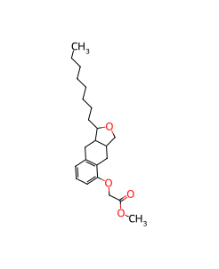 CCCCCCCCC1OCC2Cc3c(cccc3OCC(=O)OC)CC21